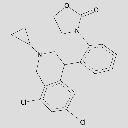 O=C1OCCN1c1ccccc1C1CN(C2CC2)Cc2c(Cl)cc(Cl)cc21